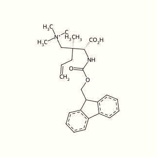 C=CC[C@@](C)(C[N+](C)(C)C)[C@@H](NC(=O)OCC1c2ccccc2-c2ccccc21)C(=O)O